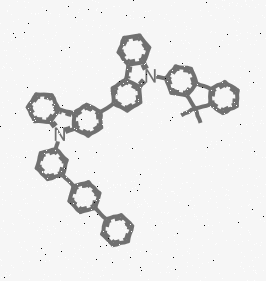 CC1(C)c2ccccc2-c2ccc(-n3c4ccccc4c4cc(-c5ccc6c(c5)c5ccccc5n6-c5cccc(-c6ccc(-c7ccccc7)cc6)c5)ccc43)cc21